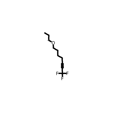 CC[CH]OCCCCC#CC(F)(F)F